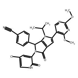 COc1ncc(-c2cc3c(n2C(C)C)C(c2ccc(C#N)cc2)N(c2cc(Cl)c[nH]c2=O)C3=O)c(OC)n1